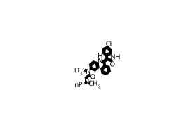 CCCN(C)CC(=O)N(C)c1ccc(NC(=C2C(=O)Nc3cc(Cl)ccc32)c2ccccc2)cc1